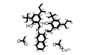 CC(=O)[O-].CC(=O)[O-].CCC(C)c1cc(C=Nc2cc3ccccc3cc2N=Cc2cc(C(C)CC)cc(C(C)(C)C)c2O)c(O)c(C(C)(C)C)c1.[Co+2]